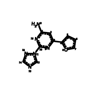 Nc1cc(-c2ccco2)nc(-n2cncn2)n1